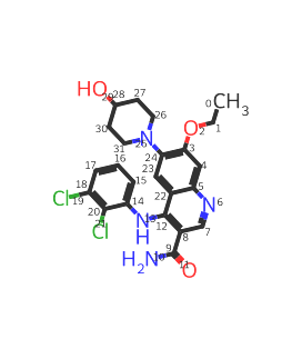 CCOc1cc2ncc(C(N)=O)c(Nc3cccc(Cl)c3Cl)c2cc1N1CCC(O)CC1